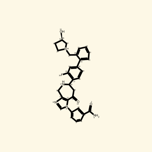 NC(=O)c1cccc(-n2cnc3c2C(=O)CC(c2ccc(-c4ccccc4CN4CC[C@@H](O)C4)cc2F)NC3)c1